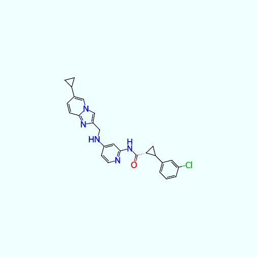 O=C(Nc1cc(NCc2cn3cc(C4CC4)ccc3n2)ccn1)[C@@H]1CC1c1cccc(Cl)c1